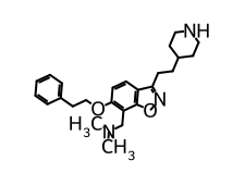 CN(C)Cc1c(OCCc2ccccc2)ccc2c(CCC3CCNCC3)noc12